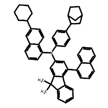 CC1(C)c2ccccc2-c2c(-c3cccc4ccccc34)cc(N(c3ccc(C4CC5CCC4C5)cc3)c3cccc4cc(C5CCCCC5)ccc34)cc21